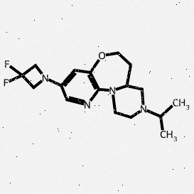 CC(C)N1CCN2c3ncc(N4CC(F)(F)C4)cc3OCCC2C1